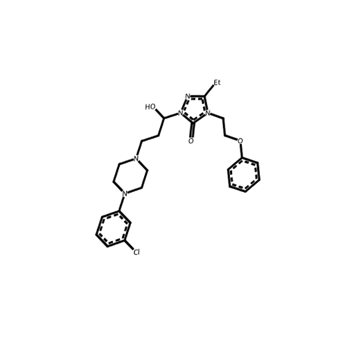 CCc1nn(C(O)CCN2CCN(c3cccc(Cl)c3)CC2)c(=O)n1CCOc1ccccc1